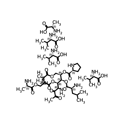 CC(=O)C(=O)[C@H](N)[C@@H](OC(=O)[C@@H](N)COC(=O)[C@H](C)N)[C@H](OC(=O)[C@@H](N)CC(C)C)[C@@H](COC(=O)[C@H](C)N)OC(=O)[C@@H]1CCCN1.CC(C)[C@H](N)C(=O)O.CC(C)[C@H](N)C(=O)O.CC(C)[C@H](N)C(=O)O.C[C@H](N)C(=O)O